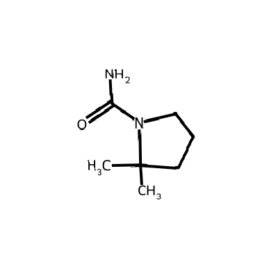 CC1(C)CCCN1C(N)=O